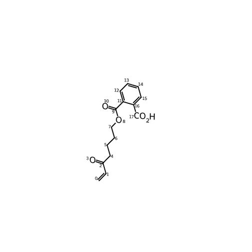 C=CC(=O)CCCCOC(=O)c1ccccc1C(=O)O